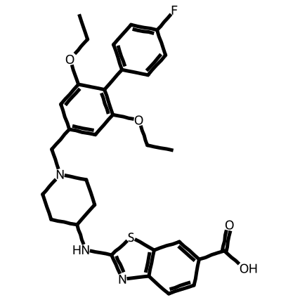 CCOc1cc(CN2CCC(Nc3nc4ccc(C(=O)O)cc4s3)CC2)cc(OCC)c1-c1ccc(F)cc1